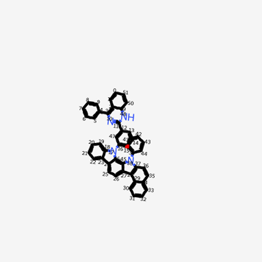 C1=CC2=C(c3ccccc3)N=C(c3cccc(-n4c5ccccc5c5ccc6c7c8ccccc8ccc7n(-c7ccccc7)c6c54)c3)NC2C=C1